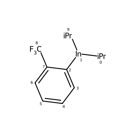 C[CH](C)[In]([c]1ccccc1C(F)(F)F)[CH](C)C